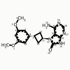 COc1cc(OC)cc([C@H]2C[C@H](n3c(=O)[nH]c4ncnc(N)c43)C2)c1